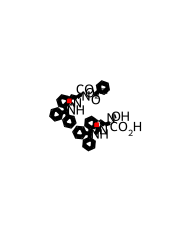 O=C(O)/C(=N\O)c1csc(NC(c2ccccc2)(c2ccccc2)c2ccccc2)n1.O=C(O)/C(=N\OC(=O)c1ccccc1)c1csc(NC(c2ccccc2)(c2ccccc2)c2ccccc2)n1